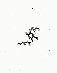 C=CCOCC(C)Oc1nc(C)c(/N=C\N(C)CC)cc1C#N